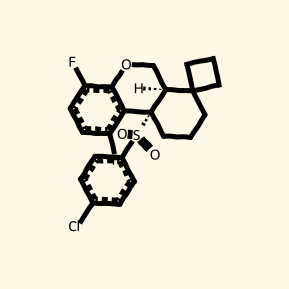 O=S(=O)(c1ccc(Cl)cc1)[C@@]12CCCC3(CCC3)[C@@H]1COc1c(F)ccc(F)c12